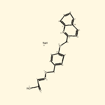 O=C(O)C=NOCc1ccc(OCc2ccc3ccccc3n2)cc1.[NaH]